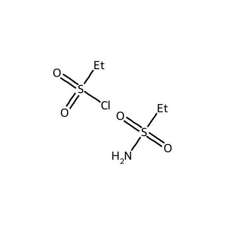 CCS(=O)(=O)Cl.CCS(N)(=O)=O